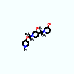 CC(C)N1CCC(OC(C)(C)N2CCC(C(C)(C)N3CCC[C@H](O)C3)[C@@H](O)C2)CC1